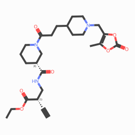 C#C[C@@H](CNC(=O)[C@@H]1CCCN(C(=O)CCC2CCN(Cc3oc(=O)oc3C)CC2)C1)C(=O)OCC